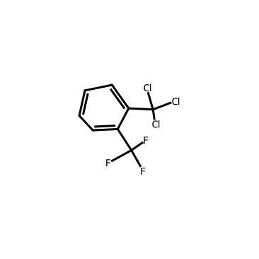 FC(F)(F)c1ccccc1C(Cl)(Cl)Cl